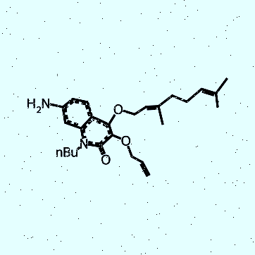 C=CCOc1c(OC/C=C(\C)CCC=C(C)C)c2ccc(N)cc2n(CCCC)c1=O